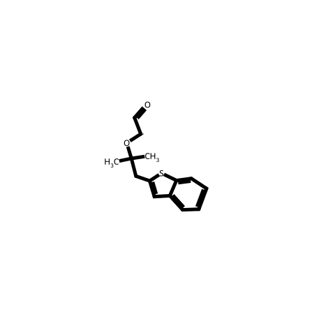 CC(C)(Cc1cc2ccccc2s1)O[CH]C=O